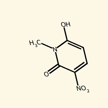 Cn1c(O)ccc([N+](=O)[O-])c1=O